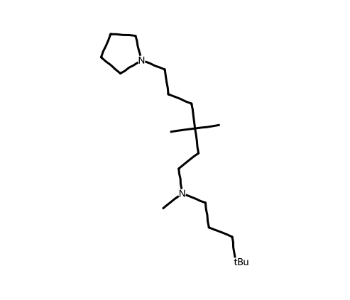 CN(CCCC(C)(C)C)CCC(C)(C)CCCN1CCCC1